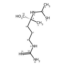 CC(S)N[C@@](C)(CCCNC(=N)N)C(=O)O